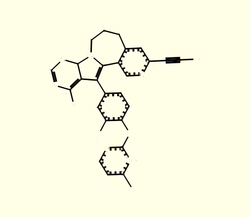 Cc1ccnc(Oc2ccc(C3=C4c5cnc(C#CO)cc5CCCN4C4NC=NC(N)=C34)cc2F)n1